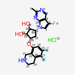 Cc1ncc2c(F)cn([C@@H]3C[C@H](Oc4cc(F)c(F)c5c4CNCC5)[C@@H](O)[C@H]3O)c2n1.Cl